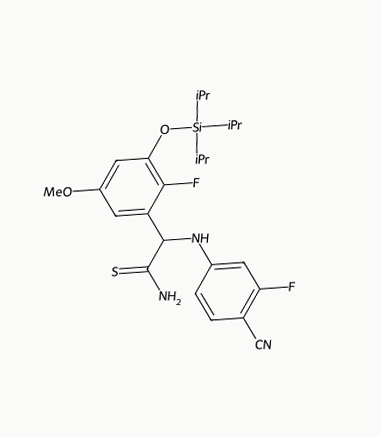 COc1cc(O[Si](C(C)C)(C(C)C)C(C)C)c(F)c(C(Nc2ccc(C#N)c(F)c2)C(N)=S)c1